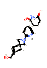 O=C1CC[C@H](c2ccc(N3CC4(CC(CO)C4)C3)nc2)C(=O)N1